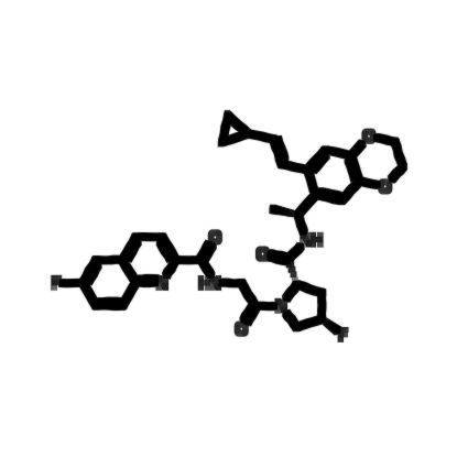 C[C@H](NC(=O)[C@@H]1C[C@@H](F)CN1C(=O)CNC(=O)c1ccc2cc(F)ccc2n1)c1cc2c(cc1/C=C/C1CC1)OCCO2